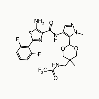 Cn1ncc(NC(=O)c2nc(-c3c(F)cccc3F)sc2N)c1C1OCC(C)(CNC(=O)C(F)(F)F)CO1